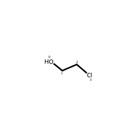 O[CH]CCl